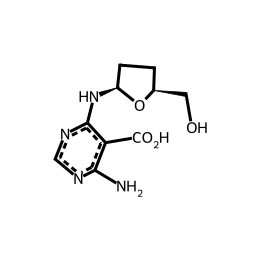 Nc1ncnc(N[C@H]2CC[C@@H](CO)O2)c1C(=O)O